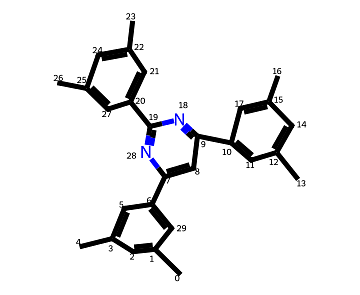 Cc1cc(C)cc(-c2cc(-c3cc(C)cc(C)c3)nc(-c3cc(C)cc(C)c3)n2)c1